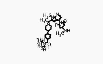 [2H]C([2H])([2H])N(C(=O)c1ccc(C2CCN([C@@H](C)c3cc4c(-n5c(F)cc(NC)cc5=O)ccnc4n3C)CC2)cc1)C([2H])([2H])[2H]